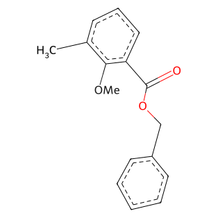 COc1c(C)cccc1C(=O)OCc1ccccc1